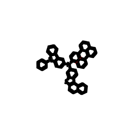 c1ccc(-c2cccc3cccc(-c4ccc(N(c5ccc6c(c5)sc5ccc7ccccc7c56)c5ccc6c(c5)c5ccccc5n6-c5ccccc5)cc4)c23)cc1